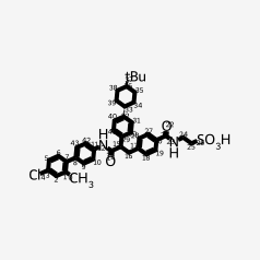 Cc1cc(Cl)ccc1-c1ccc(NC(=O)C(Cc2ccc(C(=O)NCCS(=O)(=O)O)cc2)c2ccc([C@H]3CC[C@H](C(C)(C)C)CC3)cc2)cc1